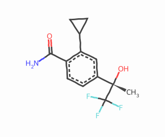 C[C@](O)(c1ccc(C(N)=O)c(C2CC2)c1)C(F)(F)F